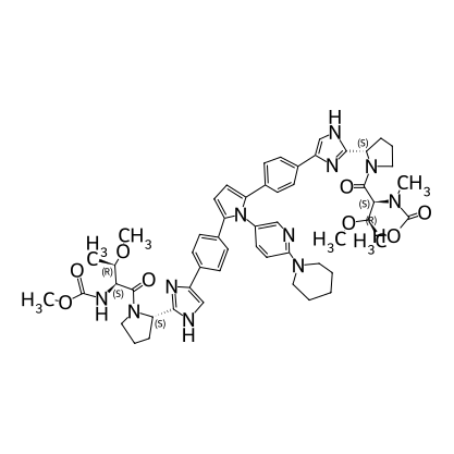 COC(=O)N[C@H](C(=O)N1CCC[C@H]1c1nc(-c2ccc(-c3ccc(-c4ccc(-c5c[nH]c([C@@H]6CCCN6C(=O)[C@H]([C@@H](C)OC)N(C)C(=O)O)n5)cc4)n3-c3ccc(N4CCCCC4)nc3)cc2)c[nH]1)[C@@H](C)OC